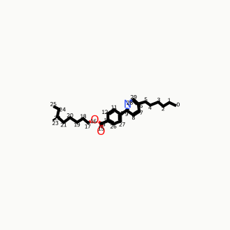 CCCCCCc1ccc(-c2ccc(C(=O)OCCCCC[C@@H](C)CC)cc2)nc1